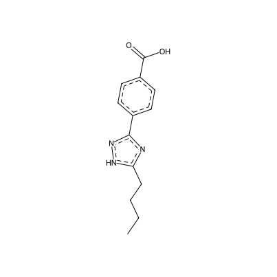 CCCCc1nc(-c2ccc(C(=O)O)cc2)n[nH]1